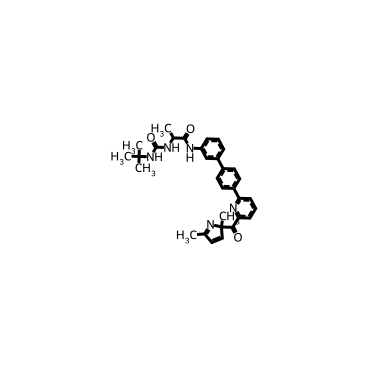 CC1=NC(C)(C(=O)c2cccc(-c3ccc(-c4cccc(NC(=O)C(C)NC(=O)NC(C)(C)C)c4)cc3)n2)C=C1